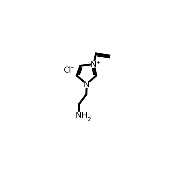 C=C[n+]1ccn(CCN)c1.[Cl-]